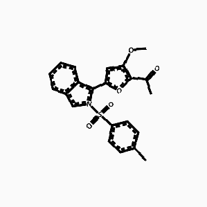 COc1cc(-c2c3ccccc3cn2S(=O)(=O)c2ccc(C)cc2)oc1C(C)=O